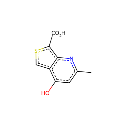 Cc1cc(O)c2csc(C(=O)O)c2n1